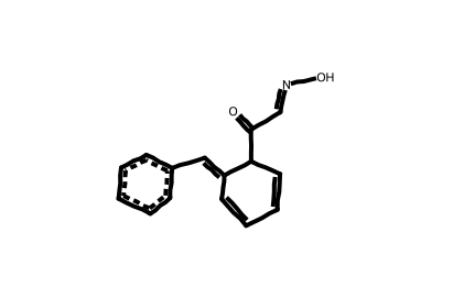 O=C(C=NO)C1C=CC=CC1=Cc1ccccc1